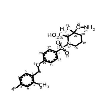 Cc1cc(F)ccc1COc1ccc(S(=O)(=O)N2CCCC(C)(ON)C2C(=O)O)cc1